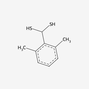 Cc1cccc(C)c1C(S)S